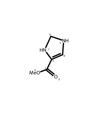 COC(=O)C1=CNCN1